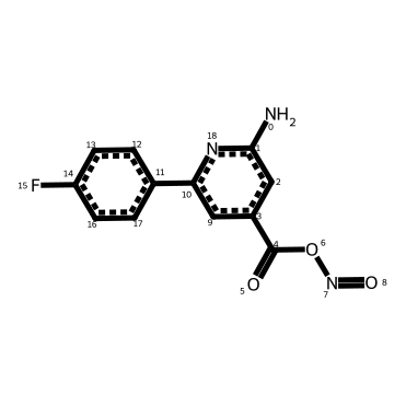 Nc1cc(C(=O)ON=O)cc(-c2ccc(F)cc2)n1